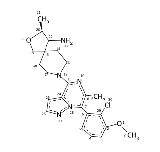 COc1cccc(-c2c(C)nc(N3CCC4(CC3)CO[C@@H](C)C4N)c3ccnn23)c1Cl